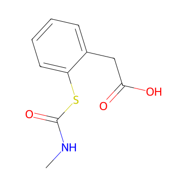 CNC(=O)Sc1ccccc1CC(=O)O